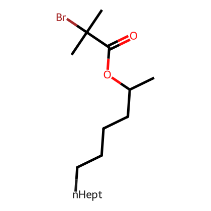 CCCCCCCCCCCC(C)OC(=O)C(C)(C)Br